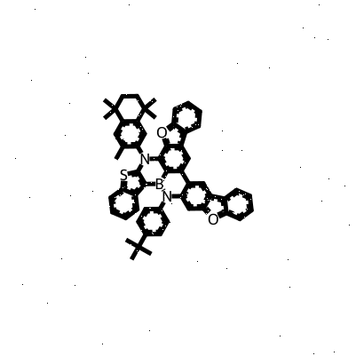 Cc1cc2c(cc1N1c3sc4ccccc4c3B3c4c(cc5c(oc6ccccc65)c41)-c1cc4c(cc1N3c1ccc(C(C)(C)C)cc1)oc1ccccc14)C(C)(C)CCC2(C)C